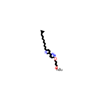 CCCCOCCCCOc1ccc(-c2ccc(CCCCCCCCCC3CC3)nc2)nn1